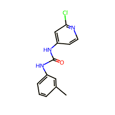 Cc1cccc(NC(=O)Nc2ccnc(Cl)c2)c1